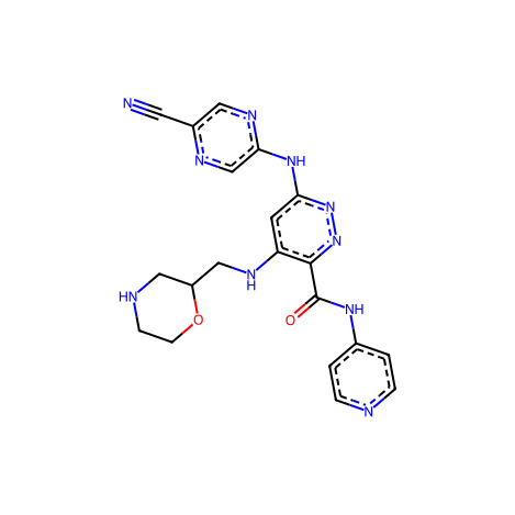 N#Cc1cnc(Nc2cc(NCC3CNCCO3)c(C(=O)Nc3ccncc3)nn2)cn1